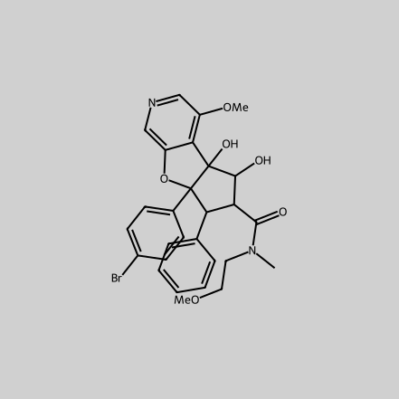 COCCN(C)C(=O)C1C(O)C2(O)c3c(OC)cncc3OC2(c2ccc(Br)cc2)C1c1ccccc1